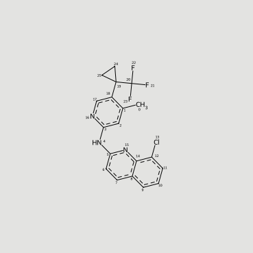 Cc1cc(Nc2ccc3cccc(Cl)c3n2)ncc1C1(C(F)(F)F)CC1